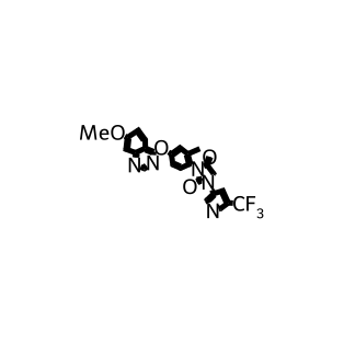 COc1ccc2c(Oc3ccc(N4C(=O)CN(c5cncc(C(F)(F)F)c5)C4=O)c(C)c3)ncnc2c1